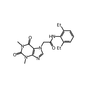 CCc1cccc(CC)c1NC(=O)Cn1cnc2c1c(=O)n(C)c(=O)n2C